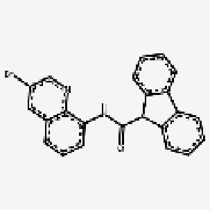 O=C(Nc1cccc2cc(Br)cnc12)C1c2ccccc2-c2ccccc21